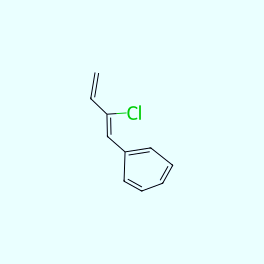 C=CC(Cl)=Cc1ccccc1